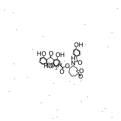 O=C(N[C@H]1CS(=O)(=O)CCC[C@@H]1OC(=O)c1cc(O)c(C(=O)c2c(O)cccc2C(=O)O)c(O)c1)c1ccc(O)cc1